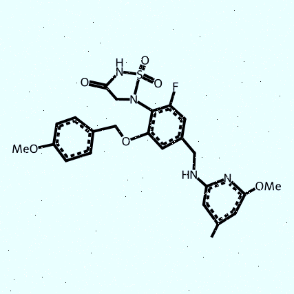 COc1ccc(COc2cc(CNc3cc(C)cc(OC)n3)cc(F)c2N2CC(=O)NS2(=O)=O)cc1